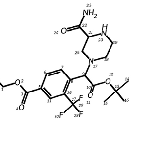 CCOC(=O)c1ccc(C(C(=O)OC(C)(C)C)N2CCNC(C(N)=O)C2)c(C(F)(F)F)c1